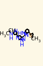 Cc1ccc(-c2cccc3[nH]c(-c4n[nH]c5cnc(-c6cncc(NC(C)C)c6)cc45)nc23)s1